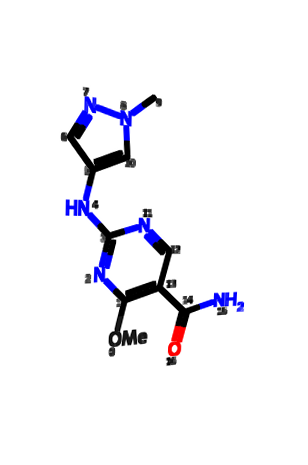 COc1nc(Nc2cnn(C)c2)ncc1C(N)=O